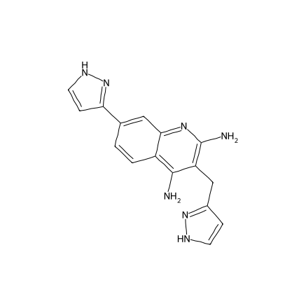 Nc1nc2cc(-c3cc[nH]n3)ccc2c(N)c1Cc1cc[nH]n1